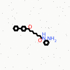 Nc1ccccc1NC(=O)CCCCCCC(=O)c1ccc(-c2ccccc2)cc1